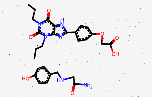 CCCn1c(=O)c2[nH]c(-c3ccc(OCC(=O)O)cc3)nc2n(CCC)c1=O.NC(=O)CNCc1ccc(O)cc1